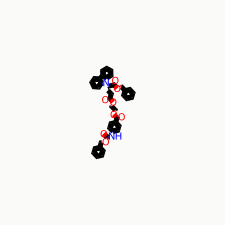 O=C(CC[C@@H](C(=O)OCc1ccccc1)n1c2ccccc2c2ccccc21)OCCOC(=O)c1ccc(NC(=O)OCc2ccccc2)cc1